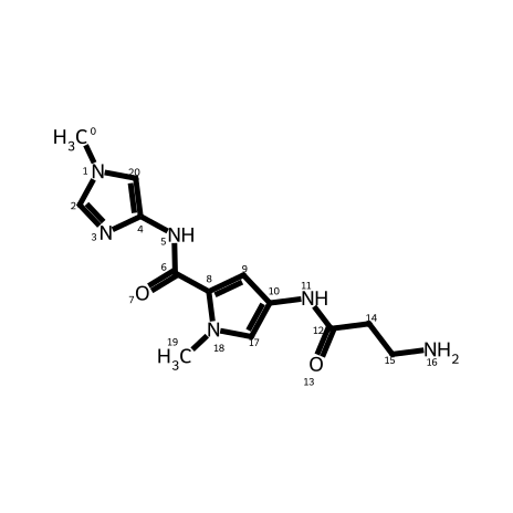 Cn1cnc(NC(=O)c2cc(NC(=O)CCN)cn2C)c1